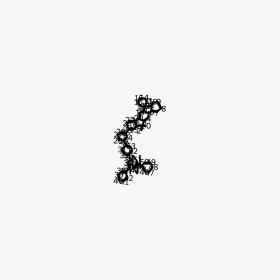 CC1(C)C2=CC3c4ccccc4C4(CCCCC4)C3C=C2c2ccc(-c3cccc(-c4ccc(-c5cc(-c6ccccc6)nc(C6=CCCC=C6)n5)cc4)c3)cc21